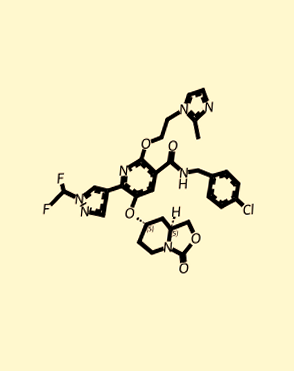 Cc1nccn1CCOc1nc(-c2cnn(C(F)F)c2)c(O[C@H]2CCN3C(=O)OC[C@@H]3C2)cc1C(=O)NCc1ccc(Cl)cc1